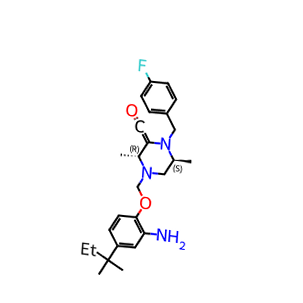 CCC(C)(C)c1ccc(OCN2C[C@H](C)N(Cc3ccc(F)cc3)C(=C=O)[C@H]2C)c(N)c1